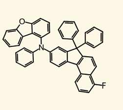 Fc1cccc2c3c(ccc12)C(c1ccccc1)(c1ccccc1)c1cc(N(c2ccccc2)c2cccc4oc5ccccc5c24)ccc1-3